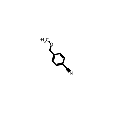 [CH2]OCc1ccc(C#N)cc1